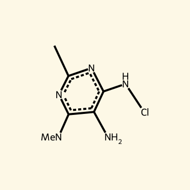 CNc1nc(C)nc(NCl)c1N